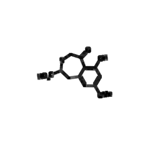 COc1cc(O)c2c(c1)CC(C(=O)O)SCC2=O